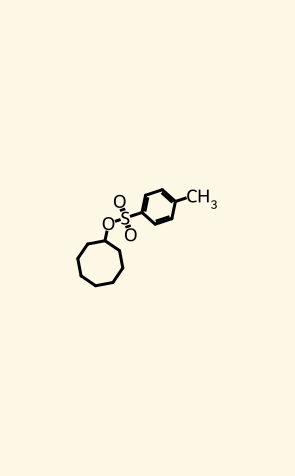 Cc1ccc(S(=O)(=O)OC2CCCCCCC2)cc1